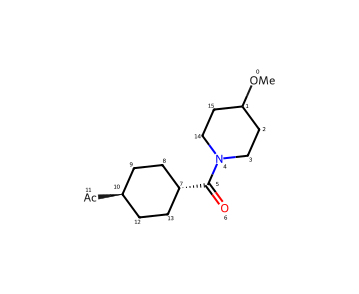 COC1CCN(C(=O)[C@H]2CC[C@H](C(C)=O)CC2)CC1